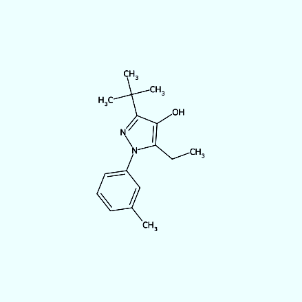 CCc1c(O)c(C(C)(C)C)nn1-c1cccc(C)c1